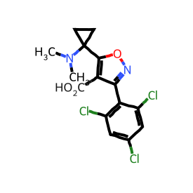 CN(C)C1(c2onc(-c3c(Cl)cc(Cl)cc3Cl)c2C(=O)O)CC1